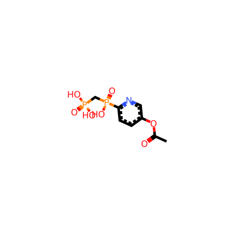 CC(=O)Oc1ccc(P(=O)(O)CP(=O)(O)O)nc1